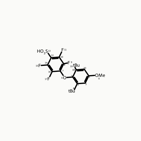 COc1cc(C(C)(C)C)c(Oc2c(F)c(F)c(S(=O)(=O)O)c(F)c2F)c(C(C)(C)C)c1